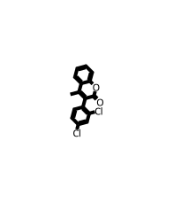 Cc1c(-c2ccc(Cl)cc2Cl)c(=O)oc2ccccc12